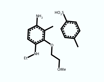 CCNc1ccc(N)c(C)c1OCCOC.Cc1ccc(S(=O)(=O)O)cc1